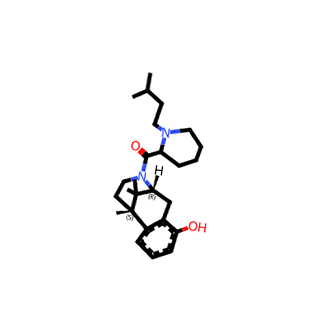 CC(C)CCN1CCCCC1C(=O)N1CC[C@@]2(C)c3cccc(O)c3C[C@@H]1C2(C)C